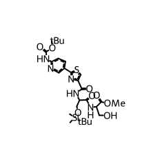 COC(=O)C(CO)NC(=O)C(CO[Si](C)(C)C(C)(C)C)NC(=O)c1csc(-c2ccc(NC(=O)OC(C)(C)C)nc2)n1